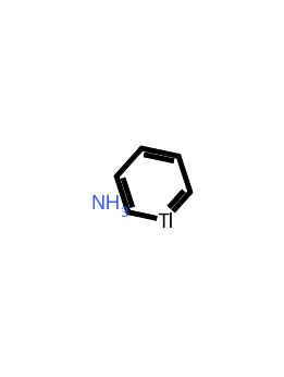 C1=C[CH]=[Tl][CH]=C1.N